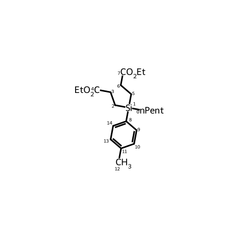 CCCCC[Si](CCC(=O)OCC)(CCC(=O)OCC)c1ccc(C)cc1